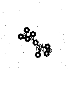 C1=CCCC(c2nc(-c3cccc4oc5ccccc5c34)nc(C3C=CC(n4c5ccccc5c5c4ccc4c6ccccc6n(-c6ccccc6)c45)=CC3)n2)=C1